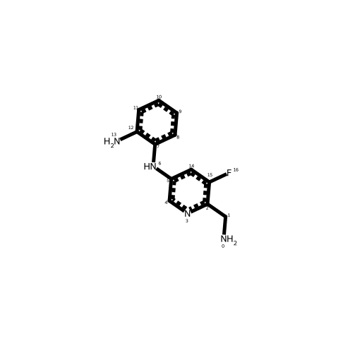 NCc1ncc(Nc2ccccc2N)cc1F